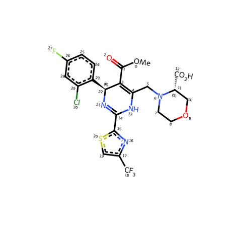 COC(=O)C1=C(CN2CCOC[C@H]2C(=O)O)NC(c2nc(C(F)(F)F)cs2)=N[C@H]1c1ccc(F)cc1Cl